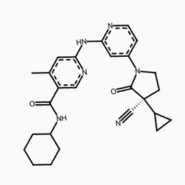 Cc1cc(Nc2cc(N3CC[C@@](C#N)(C4CC4)C3=O)ccn2)ncc1C(=O)NC1CCCCC1